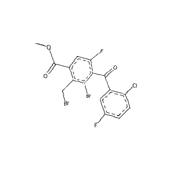 COC(=O)c1cc(F)c(C(=O)c2cc(F)ccc2Cl)c(Br)c1CBr